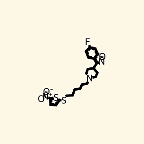 O=[N+]([O-])c1ccc(SCCCCCCN2CCC(c3noc4cc(F)ccc34)CC2)s1